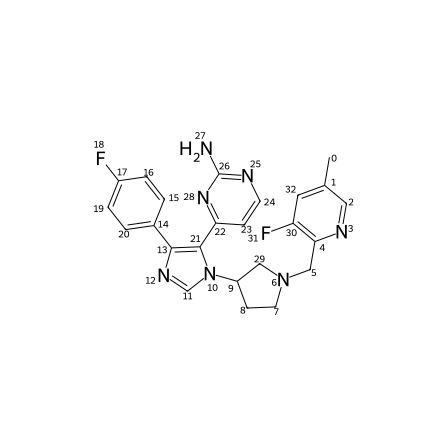 Cc1cnc(CN2CCC(n3cnc(-c4ccc(F)cc4)c3-c3ccnc(N)n3)C2)c(F)c1